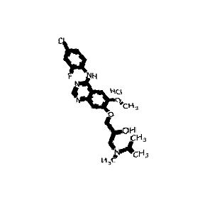 COc1cc2c(Nc3ccc(Cl)cc3F)ncnc2cc1OCC(O)CN(C)C(C)C.Cl